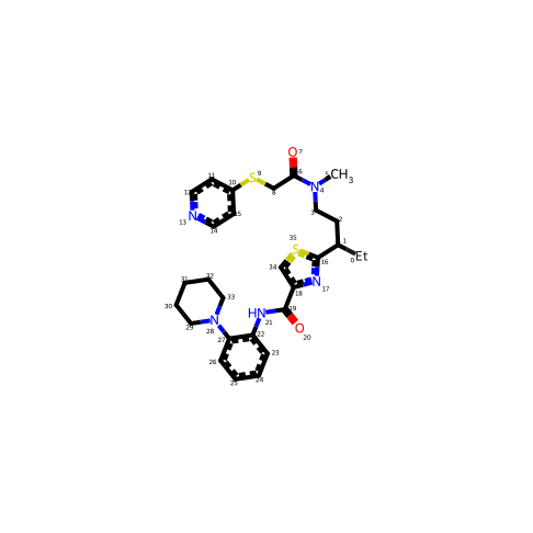 CCC(CCN(C)C(=O)CSc1ccncc1)c1nc(C(=O)Nc2ccccc2N2CCCCC2)cs1